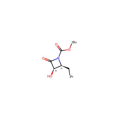 CC(C)C[C@H]1[C@@H](O)C(=O)N1C(=O)OC(C)(C)C